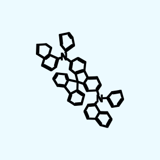 C1=Cc2cccc(N(c3ccccc3)c3ccc4c(c3)C3(c5ccccc5-c5ccccc53)c3cc(N(c5ccccc5)c5cccc6ccccc56)ccc3-4)c2CC1